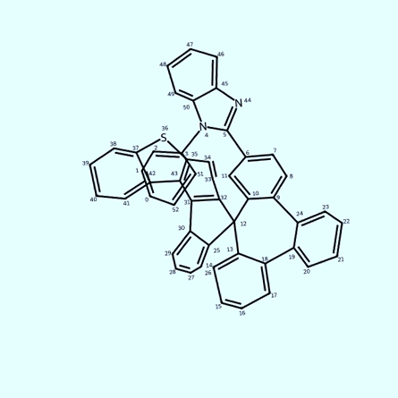 c1ccc(-n2c(-c3ccc4c(c3)C3(c5ccccc5-c5ccccc5-4)c4ccccc4-c4c3ccc3sc5ccccc5c43)nc3ccccc32)cc1